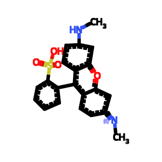 C/N=c1\ccc2c(-c3ccccc3S(=O)(=O)O)c3ccc(NC)cc3oc-2c1